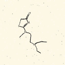 CCN(CC)CCN(C)C1=NC(=O)CS1